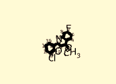 COc1c2ccc(F)cc2nc2c1oc1c(Cl)cccc12